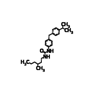 CCCC(C)CCNC(=O)Nc1ccc(Cc2ccc(C(C)C)cc2)cc1